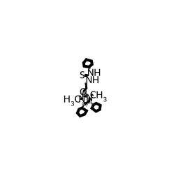 CN1[C@H](c2ccccc2)[C@@H](c2ccccc2)N(C)P1OCCNC(=S)Nc1ccccc1